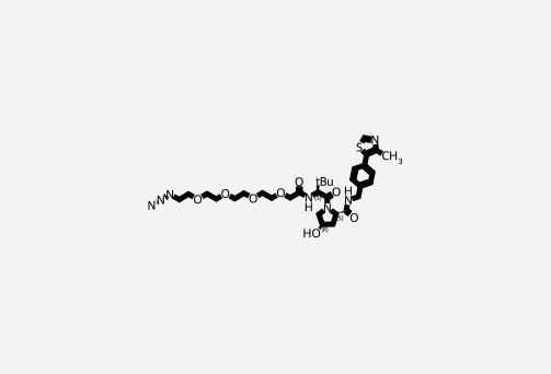 Cc1ncsc1-c1ccc(CNC(=O)[C@@H]2C[C@@H](O)CN2C(=O)[C@@H](NC(=O)COCCOCCOCCOCCN=[N+]=[N-])C(C)(C)C)cc1